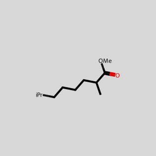 COC(=O)C(C)CCCCC(C)C